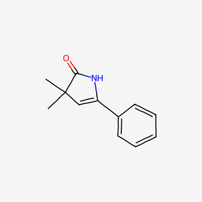 CC1(C)C=C(c2ccccc2)NC1=O